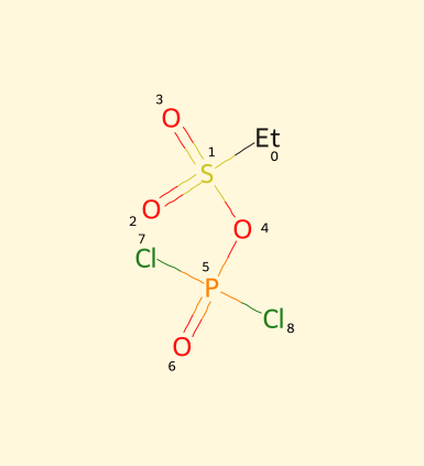 CCS(=O)(=O)OP(=O)(Cl)Cl